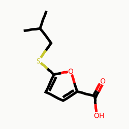 CC(C)CSc1ccc(C(=O)O)o1